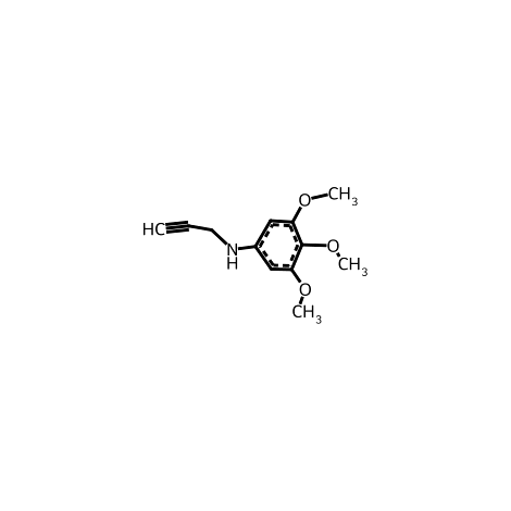 C#CCNc1cc(OC)c(OC)c(OC)c1